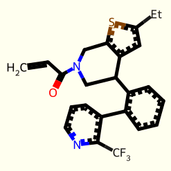 C=CC(=O)N1Cc2sc(CC)cc2C(c2ccccc2-c2cccnc2C(F)(F)F)C1